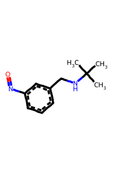 CC(C)(C)NCc1cccc(N=O)c1